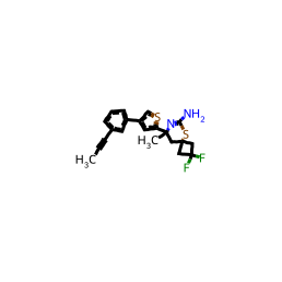 CC#Cc1cccc(-c2csc(C3(C)CC4(CC(F)(F)C4)SC(N)=N3)c2)c1